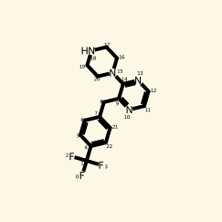 FC(F)(F)c1ccc(Cc2nccnc2N2CCNCC2)cc1